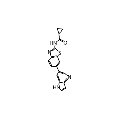 O=C(Nc1nc2ccc(-c3cnc4cc[nH]c4c3)cc2s1)C1CC1